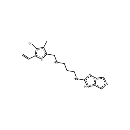 C=Cc1sc(CNCCCNc2nc3cscc3[nH]2)c(C)c1Br